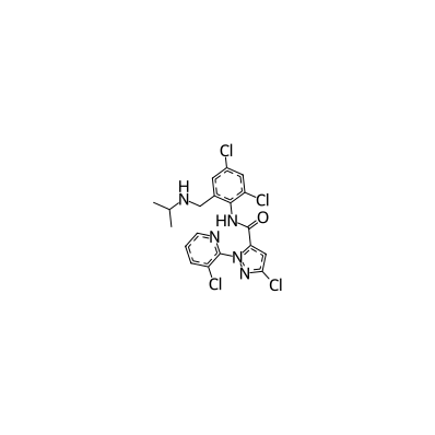 CC(C)NCc1cc(Cl)cc(Cl)c1NC(=O)c1cc(Cl)nn1-c1ncccc1Cl